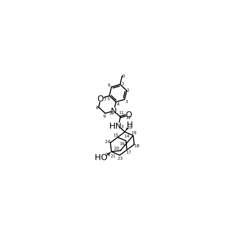 Cc1ccc2c(c1)OCCN2C(=O)N[C@H]1C2CC3CC1C[C@](O)(C3)C2